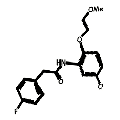 COCCOc1ccc(Cl)cc1NC(=O)Cc1ccc(F)cc1